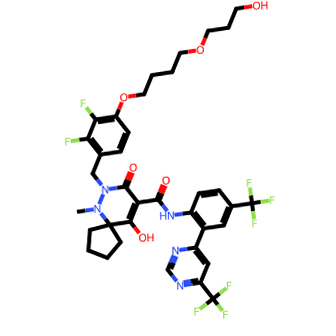 CN1N(Cc2ccc(OCCCCOCCCO)c(F)c2F)C(=O)C(C(=O)Nc2ccc(C(F)(F)F)cc2-c2cc(C(F)(F)F)ncn2)=C(O)C12CCCC2